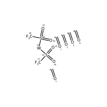 C=O.C=O.C=O.C=O.C=O.O=[S](=O)([W][S](=O)(=O)C(F)(F)F)C(F)(F)F